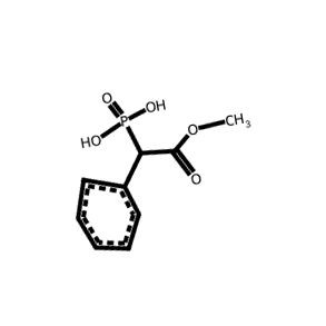 COC(=O)C(c1ccccc1)P(=O)(O)O